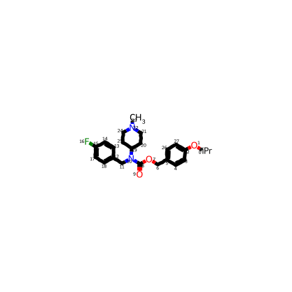 CC(C)Oc1ccc(COC(=O)N(Cc2ccc(F)cc2)C2CCN(C)CC2)cc1